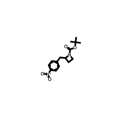 CC(C)(C)OC(=O)N1CCC1Cc1ccc([N+](=O)[O-])cc1